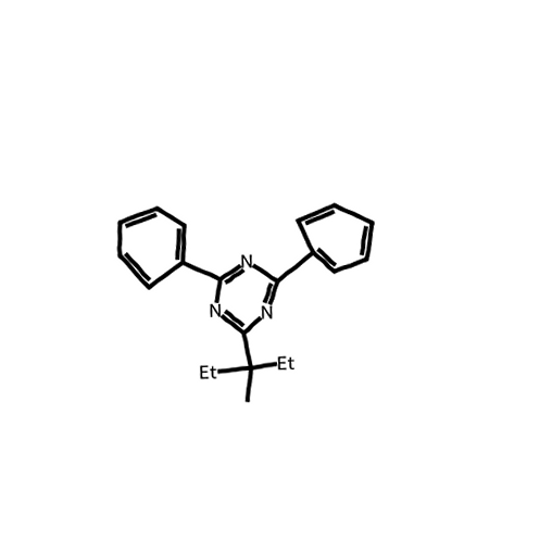 CCC(C)(CC)c1nc(-c2ccccc2)nc(-c2ccccc2)n1